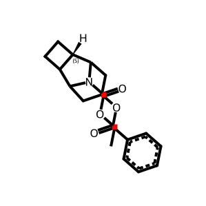 CCOC(=O)N1C2CC(OC(=O)c3ccccc3)CC1[C@H]1CCC21